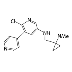 CNC1(CNc2cnc(Cl)c(-c3ccncc3)c2)CC1